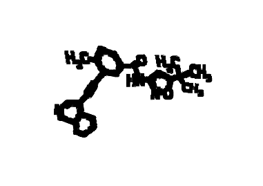 Cc1ccc(C(=O)Nc2cc(C(C)(C)C)on2)cc1C#Cc1cncc2ccccc12